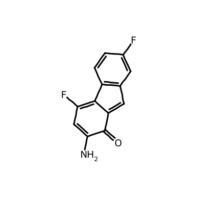 NC1=CC(F)=C2C(=Cc3cc(F)ccc32)C1=O